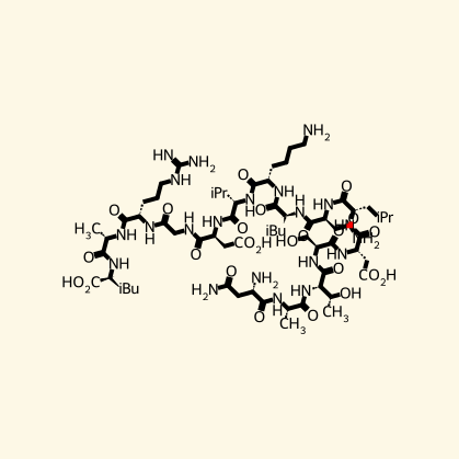 CC[C@H](C)[C@H](NC(=O)[C@H](C)NC(=O)[C@H](CCCNC(=N)N)NC(=O)CNC(=O)[C@H](CC(=O)O)NC(=O)[C@@H](NC(=O)[C@H](CCCCN)NC(=O)[C@@H](NC(=O)[C@H](CC(N)=O)NC(=O)[C@H](CC(C)C)NC(=O)[C@H](CC(=O)O)NC(=O)[C@H](CO)NC(=O)[C@@H](NC(=O)[C@H](C)NC(=O)[C@@H](N)CC(N)=O)[C@@H](C)O)[C@@H](C)CC)C(C)C)C(=O)O